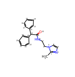 Cc1nccn1CCNC(=O)C(c1ccccc1)c1ccccc1